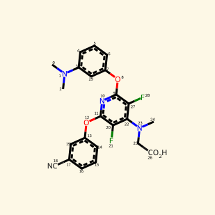 CN(C)c1cccc(Oc2nc(Oc3cccc(C#N)c3)c(F)c(N(C)CC(=O)O)c2F)c1